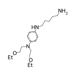 CCOCCN(CCOCC)c1ccc(NCCCCCN)cc1